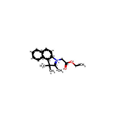 CCOC(=O)C[N+]1=C(C)C(C)(C)c2c1ccc1ccccc21